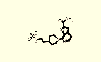 CS(=O)(=O)NCCC1CCN(c2nccc3cc(C(N)=O)sc23)CC1